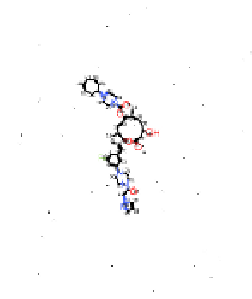 C/C(=C\c1cc(F)cc(N2CCN(C(=O)Cn3cccn3)CC2)c1)[C@H]1OC(=O)C[C@H](O)CC[C@H](C)C(OC(=O)N2CCN(C3CCCCCC3)CC2)/C=C/[C@@H]1C